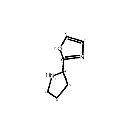 c1coc(C2CCCN2)n1